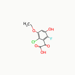 CCOc1cc(O)c(F)c(C(=O)C(=O)O)c1Cl